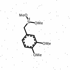 COc1ccc(C[SiH](OC)OC)cc1OC